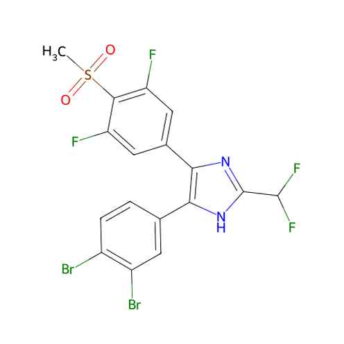 CS(=O)(=O)c1c(F)cc(-c2nc(C(F)F)[nH]c2-c2ccc(Br)c(Br)c2)cc1F